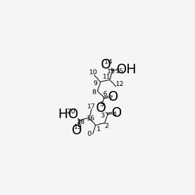 CC(CC(=O)OC(=O)CC(C)C(C)C(=O)O)C(C)C(=O)O